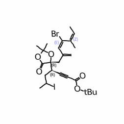 C=C(/C=C(Br)\C(C)=C/C)C[C@]1([C@@H](C#CC(=O)OC(C)(C)C)CC(C)I)OC(C)(C)OC1=O